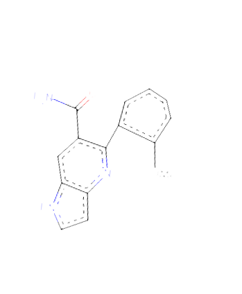 COc1ccccc1-c1nc2cc[nH]c2cc1C(N)=O